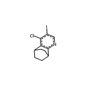 Clc1c(I)cnc2c1C1CCC2CC1